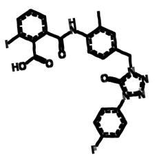 Cc1cc(Cn2nnn(-c3ccc(F)cc3)c2=O)ccc1NC(=O)c1cccc(I)c1C(=O)O